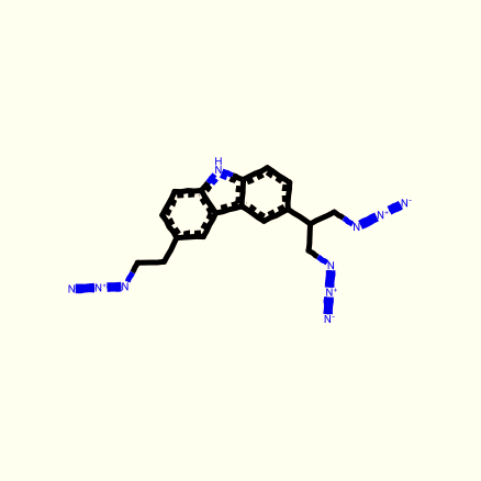 [N-]=[N+]=NCCc1ccc2[nH]c3ccc(C(CN=[N+]=[N-])CN=[N+]=[N-])cc3c2c1